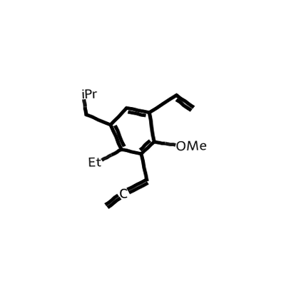 C=C=Cc1c(CC)c(CC(C)C)cc(C=C)c1OC